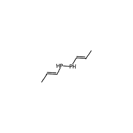 CC=CPPC=CC